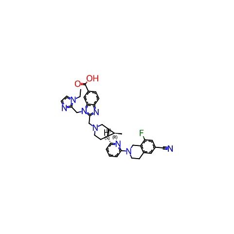 CCn1ccnc1Cn1c(CN2CC[C@]3(c4cccc(N5CCc6cc(C#N)cc(F)c6C5)n4)[C@H](C)[C@@H]3C2)nc2ccc(C(=O)O)cc21